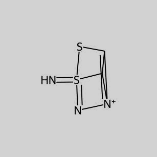 N=S12=N[N+]3=C(S1)C32